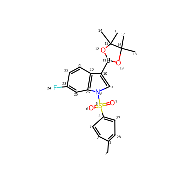 Cc1ccc(S(=O)(=O)n2cc(B3OC(C)(C)C(C)(C)O3)c3ccc(F)cc32)cc1